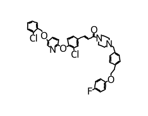 O=C(C=Cc1ccc(Oc2ccc(OCc3ccccc3Cl)cn2)c(Cl)c1)N1CCN(Cc2ccc(CCOc3ccc(F)cc3)cc2)CC1